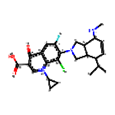 CNC1C=CC(C(C)C)C2CN(c3c(F)cc4c(=O)c(C(=O)O)cn(C5CC5)c4c3Cl)CC12